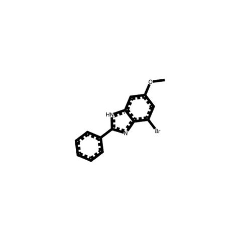 COc1cc(Br)c2nc(-c3ccccc3)[nH]c2c1